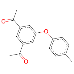 CC(=O)c1cc(Oc2ccc(C)cc2)cc(C(C)=O)c1